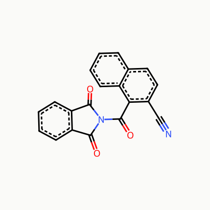 N#Cc1ccc2ccccc2c1C(=O)N1C(=O)c2ccccc2C1=O